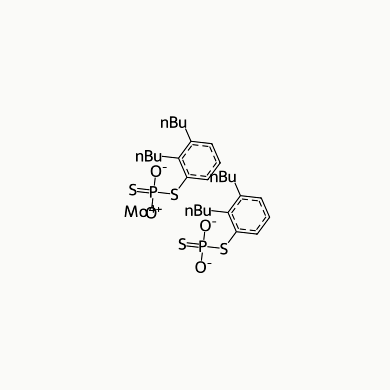 CCCCc1cccc(SP([O-])([O-])=S)c1CCCC.CCCCc1cccc(SP([O-])([O-])=S)c1CCCC.[Mo+4]